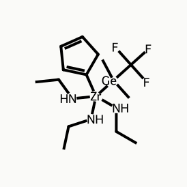 CC[NH][Zr]([NH]CC)([NH]CC)([C]1=CC=CC1)[Ge]([CH3])([CH3])[C](F)(F)F